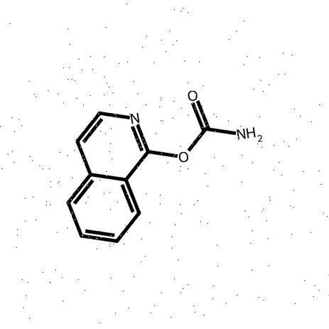 NC(=O)Oc1nccc2ccccc12